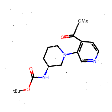 COC(=O)c1ccncc1N1CCC[C@H](NC(=O)OC(C)(C)C)C1